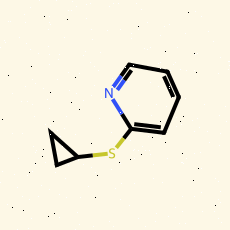 c1ccc(SC2CC2)nc1